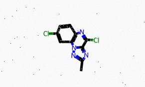 Cc1nc2c(Cl)nc3ccc(Cl)cc3n2n1